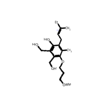 CC/C(C)=C/Cc1c(C)c(OCCCOC)c(CO)c(CO)c1O